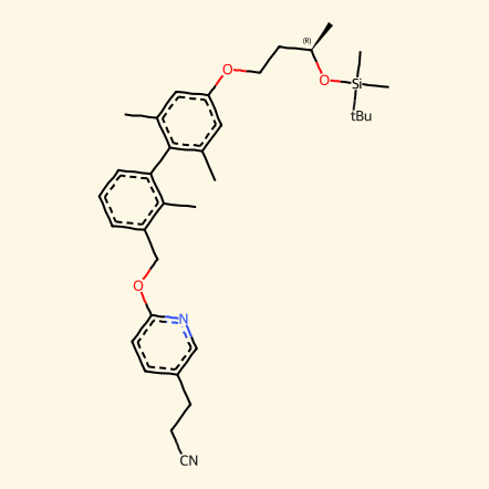 Cc1cc(OCC[C@@H](C)O[Si](C)(C)C(C)(C)C)cc(C)c1-c1cccc(COc2ccc(CCC#N)cn2)c1C